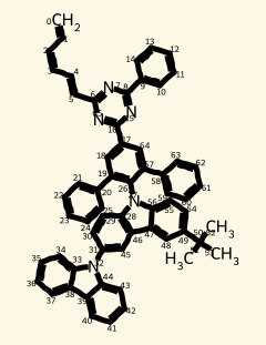 C=C/C=C\C=C\c1nc(-c2ccccc2)nc(-c2cc(-c3ccccc3)c(-n3c4ccc(-n5c6ccccc6c6ccccc65)cc4c4cc(C(C)(C)C)ccc43)c(-c3ccccc3)c2)n1